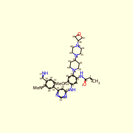 C=CC(=O)Nc1cc(Nc2cc(-c3ccc(C=N)c(NC)c3)ncn2)c(OC)cc1N1CCC(N2CCN(C3COC3)CC2)CC1